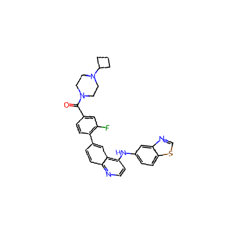 O=C(c1ccc(-c2ccc3nccc(Nc4ccc5scnc5c4)c3c2)c(F)c1)N1CCN(C2CCC2)CC1